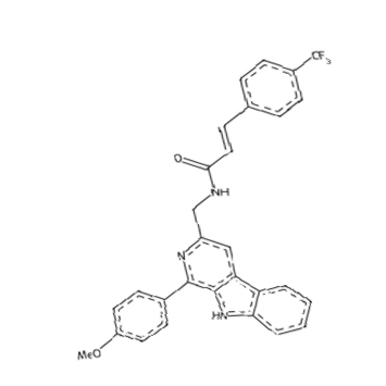 COc1ccc(-c2nc(CNC(=O)/C=C/c3ccc(C(F)(F)F)cc3)cc3c2[nH]c2ccccc23)cc1